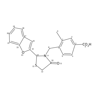 Cc1cc(C(=O)O)ccc1CN1C(=O)CSC1c1cc2ccccc2o1